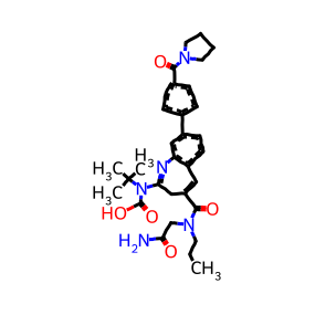 CCCN(CC(N)=O)C(=O)C1=Cc2ccc(-c3ccc(C(=O)N4CCCC4)cc3)cc2N=C(N(C(=O)O)C(C)(C)C)C1